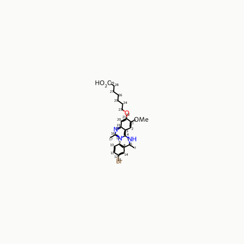 COc1cc2c(NC(C)c3cccc(Br)c3)nc(C)nc2cc1OCCCCCCC(=O)O